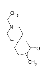 CCN1CCC2(CC1)CCN(C)C(=O)C2